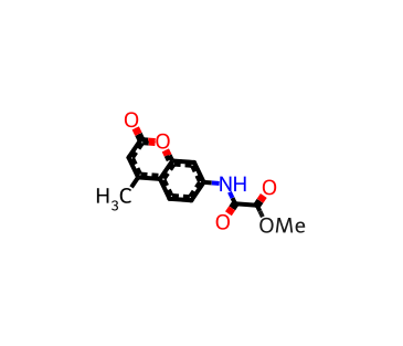 COC(=O)C(=O)Nc1ccc2c(C)cc(=O)oc2c1